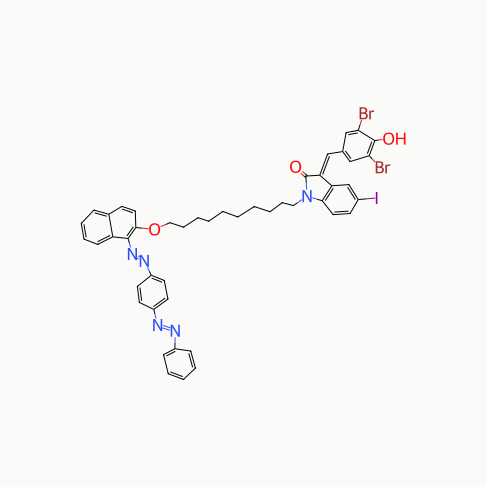 O=C1C(=Cc2cc(Br)c(O)c(Br)c2)c2cc(I)ccc2N1CCCCCCCCCCOc1ccc2ccccc2c1/N=N/c1ccc(/N=N/c2ccccc2)cc1